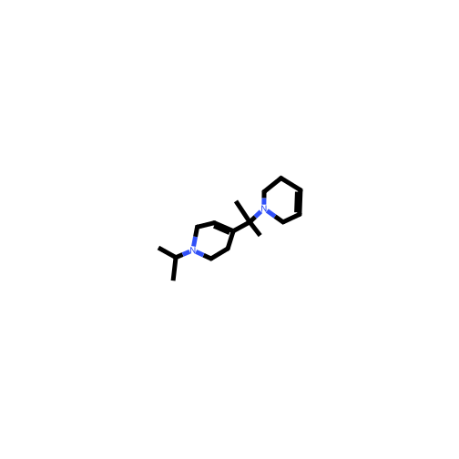 CC(C)N1CC=C(C(C)(C)N2CC=CCC2)CC1